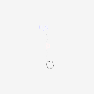 NCCCCOCCCc1ccccc1